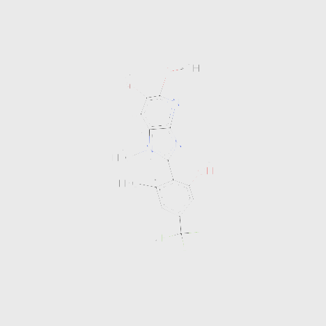 COc1nc2nc(-c3c(C)cc(C(F)(F)F)cc3O)n(C)c2cc1Br